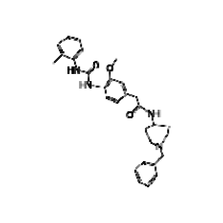 COc1cc(CC(=O)NC2CCN(Cc3ccccc3)CC2)ccc1NC(=O)Nc1ccccc1C